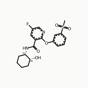 CS(=O)(=O)c1cccc(Oc2ncc(F)cc2C(=O)N[C@H]2CCCC[C@H]2O)c1